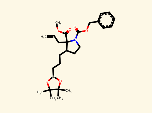 C=CCC1(C(=O)OC)C(CCCB2OC(C)(C)C(C)(C)O2)CCN1C(=O)OCc1ccccc1